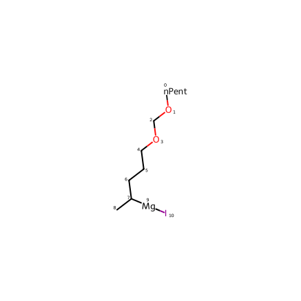 CCCCCOCOCCC[CH](C)[Mg][I]